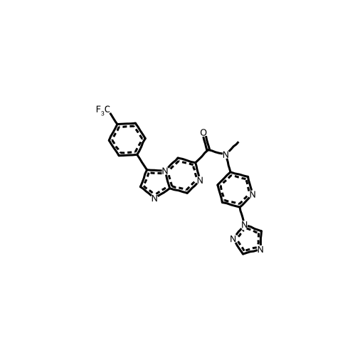 CN(C(=O)c1cn2c(-c3ccc(C(F)(F)F)cc3)cnc2cn1)c1ccc(-n2cncn2)nc1